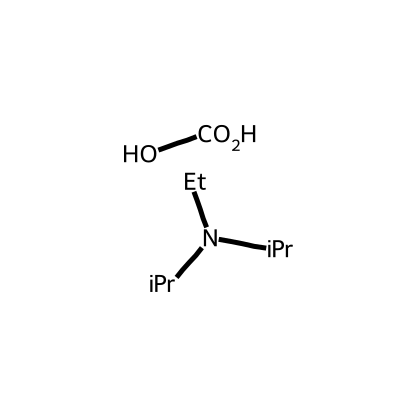 CCN(C(C)C)C(C)C.O=C(O)O